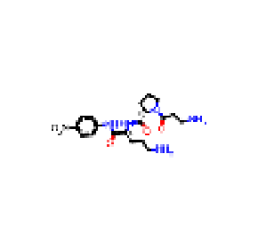 NCCC[C@H](NC(=O)[C@@H]1CCCN1C(=O)CCN)C(=O)Nc1ccc([N+](=O)[O-])cc1